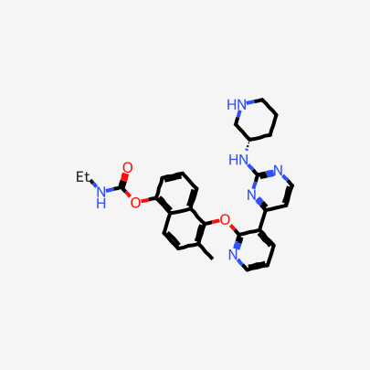 CCNC(=O)Oc1cccc2c(Oc3ncccc3-c3ccnc(N[C@H]4CCCNC4)n3)c(C)ccc12